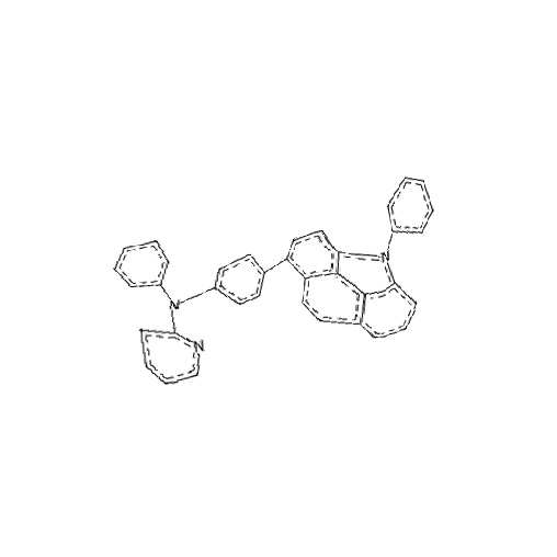 c1ccc(N(c2ccc(-c3ccc4c5c3ccc3cccc(c35)n4-c3ccccc3)cc2)c2ccccn2)cc1